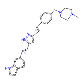 CN1CCN(Cc2ccc(/C=C/c3cc(/C=C/c4ccc5cc[nH]c5c4)[nH]n3)cc2)CC1